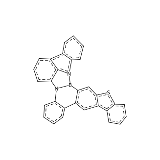 c1ccc2c(c1)-c1cc3c(cc1B1N2c2cccc4c5ccccc5n1c24)sc1ccccc13